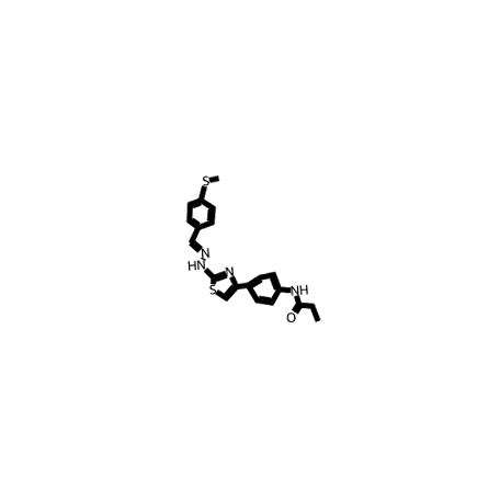 CCC(=O)Nc1ccc(-c2csc(N/N=C/c3ccc(SC)cc3)n2)cc1